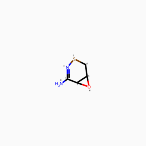 NC1=NSCC2OC12